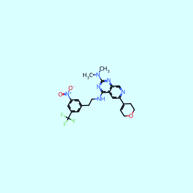 CN(C)c1nc(NCCc2cc([N+](=O)[O-])cc(C(F)(F)F)c2)c2cc(C3=CCOCC3)ncc2n1